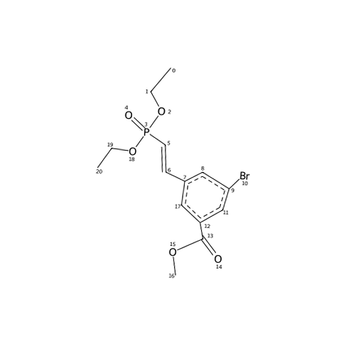 CCOP(=O)(C=Cc1cc(Br)cc(C(=O)OC)c1)OCC